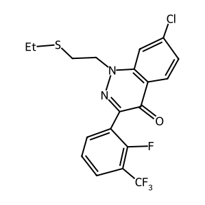 CCSCCn1nc(-c2cccc(C(F)(F)F)c2F)c(=O)c2ccc(Cl)cc21